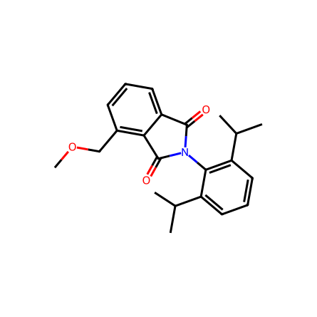 COCc1cccc2c1C(=O)N(c1c(C(C)C)cccc1C(C)C)C2=O